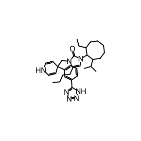 CCCCc1cn(C2C(CC)CCCCCC2C(C)C)c(=O)n1CC1(c2cccc(-c3nnn[nH]3)c2)C=CNC=C1